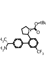 C[C@@H](N)c1ccc(-c2cc(C(F)(F)F)ccc2C2CCCN2C(=O)OC(C)(C)C)cc1